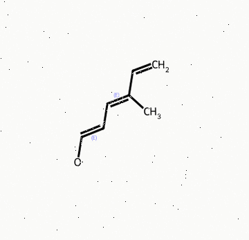 C=C/C(C)=C/C=C/[O]